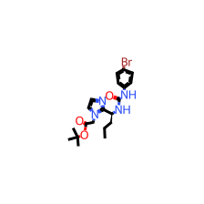 CCC[C@H](NC(=O)Nc1ccc(Br)cc1)c1nccn1CC(=O)OC(C)(C)C